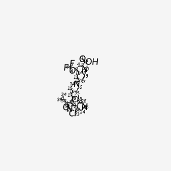 O=C(O)c1cc(OC(F)F)c2cc(N3CCC(/C=C/c4c(-c5c(Cl)cncc5Cl)noc4C4CC4)CC3)ccc2n1